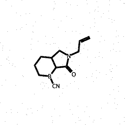 C=CCN1CC2CCCB(C#N)C2C1=O